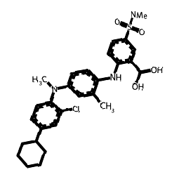 CNS(=O)(=O)c1ccc(Nc2ccc(N(C)c3ccc(C4CCCCC4)cc3Cl)cc2C)c(C(O)O)c1